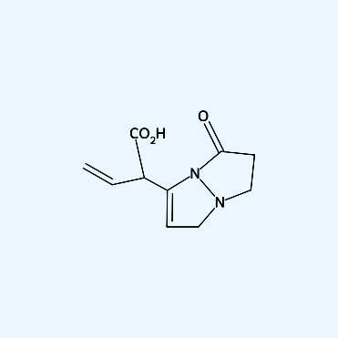 C=CC(C(=O)O)C1=CCN2CCC(=O)N12